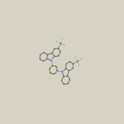 FC(F)(F)c1ccc2c(c1)c1ccccc1n2-c1cccc(-n2c3ccccc3c3cc(C(F)(F)F)ccc32)c1